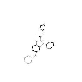 C[C@]1(C(=O)Nc2nccs2)Cc2ccc(CN3CCOCC3)cc2[C@H]1c1ccccc1